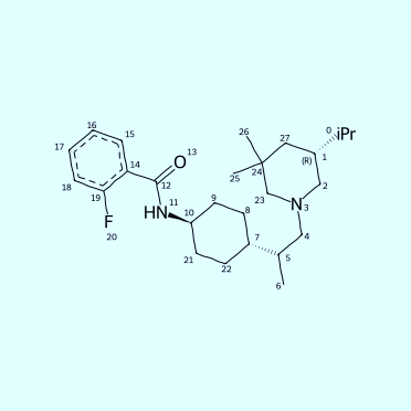 CC(C)[C@@H]1CN(CC(C)[C@H]2CC[C@H](NC(=O)c3ccccc3F)CC2)CC(C)(C)C1